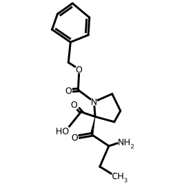 CCC(N)C(=O)[C@]1(C(=O)O)CCCN1C(=O)OCc1ccccc1